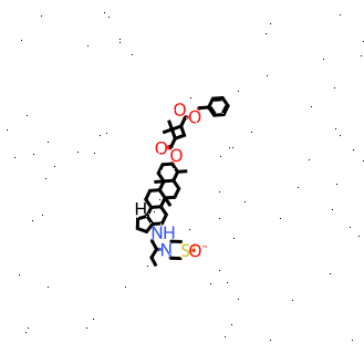 CCC(CNC12CCC[C@@H]1C1CCC3C4(C)CCC(OC(=O)C5CC(C(=O)OCc6ccccc6)C5(C)C)C(C)C4CCC3(C)C1CC2)N1CC[S+]([O-])CC1